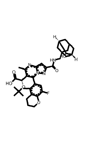 Cc1nc2cc(C(=O)NCC34CC5C[C@H](C3)C(O)[C@H](C5)C4)nn2c(-c2cc(F)c3c(c2C)CCCO3)c1[C@H](OC(C)(C)C)C(=O)O